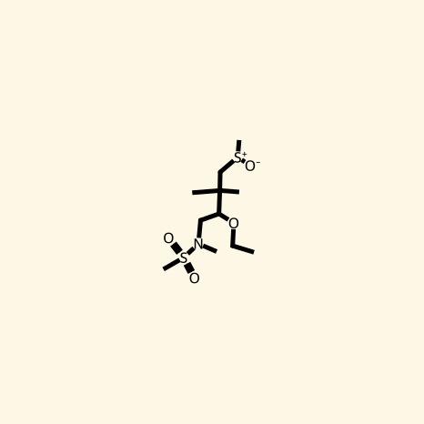 CCOC(CN(C)S(C)(=O)=O)C(C)(C)C[S+](C)[O-]